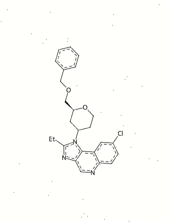 CCc1nc2cnc3ccc(Cl)cc3c2n1C1CCO[C@H](COCc2ccccc2)C1